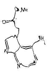 COC(=O)Cn1cnc2ncnc(N)c21